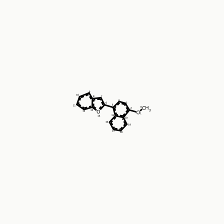 COc1ccc(-c2cc3ccccc3o2)c2ccccc12